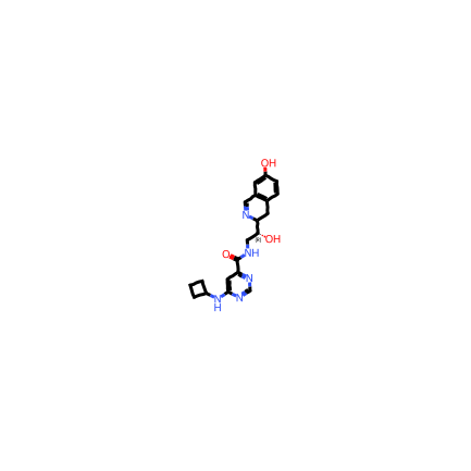 O=C(NC[C@@H](O)C1Cc2ccc(O)cc2C=N1)c1cc(NC2CCC2)ncn1